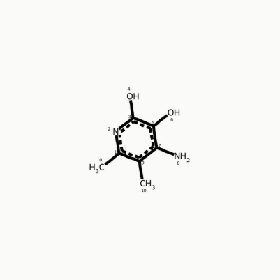 Cc1nc(O)c(O)c(N)c1C